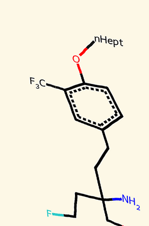 CCCCCCCOc1ccc(CCC(N)(CO)CCF)cc1C(F)(F)F